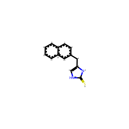 S=C1[N]C(Cc2ccc3ccccc3c2)=CN1